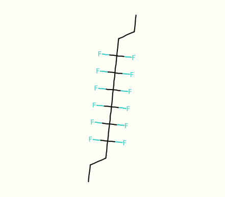 CCCC(F)(F)C(F)(F)C(F)(F)C(F)(F)C(F)(F)C(F)(F)CCC